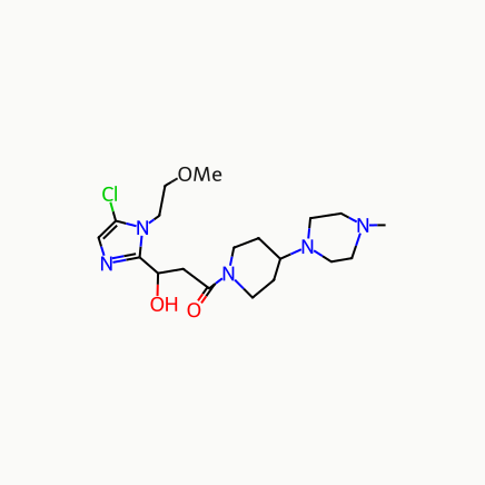 COCCn1c(Cl)cnc1C(O)CC(=O)N1CCC(N2CCN(C)CC2)CC1